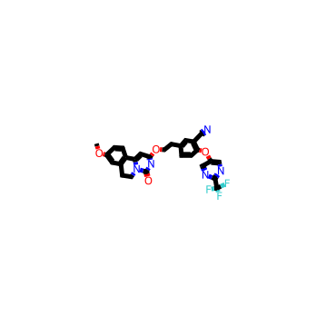 COc1ccc2c(c1)CCn1c-2cc(OCCc2ccc(Oc3cnc(C(F)(F)F)nc3)c(C#N)c2)nc1=O